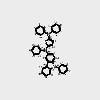 c1ccc(N(c2ccccc2)c2ccc(N(c3ccccc3)c3ccc4c(c3)c3ccccc3n4-c3ccccc3)s2)cc1